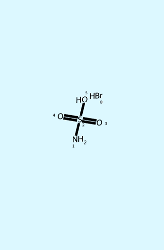 Br.NS(=O)(=O)O